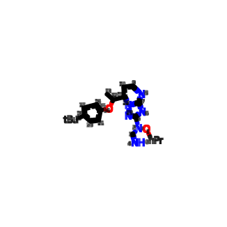 CCCON(C=N)c1nc2nccc(C(C)Oc3ccc(C(C)(C)C)cc3)n2n1